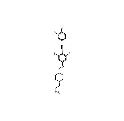 CCC[C@H]1CC[C@H](COc2cc(F)c(C#Cc3ccc(Cl)c(F)c3)c(F)c2)CC1